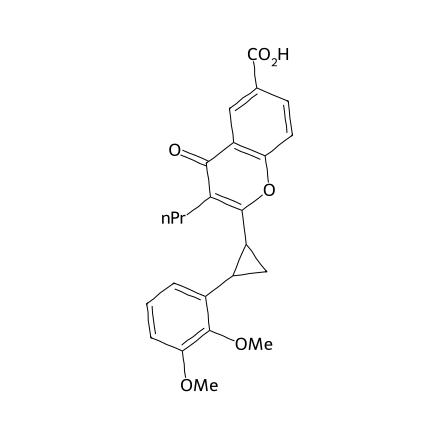 CCCc1c(C2CC2c2cccc(OC)c2OC)oc2ccc(C(=O)O)cc2c1=O